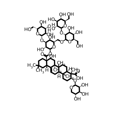 CC1(C)CC[C@]2(C(=O)O[C@@H]3O[C@H](CO[C@@H]4O[C@H](CO)[C@@H](O)[C@H](O)[C@H]4O[C@@H]4O[C@H](CO)[C@@H](O)[C@H](O)[C@H]4O)[C@@H](O)[C@H](O[C@@H]4O[C@H](CO)[C@@H](O)[C@H](O)[C@H]4O)[C@H]3O)[C@H](O)C[C@]3(C)C(=CC[C@@H]4[C@@]5(C)CC[C@H](O[C@@H]6OC[C@@H](O)[C@H](O)[C@H]6O)[C@@](C)(C(=O)O)[C@@H]5CC[C@]43C)[C@@H]2C1